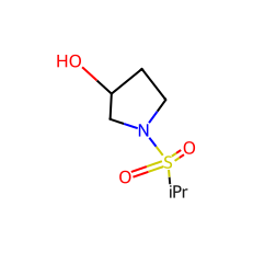 CC(C)S(=O)(=O)N1CCC(O)C1